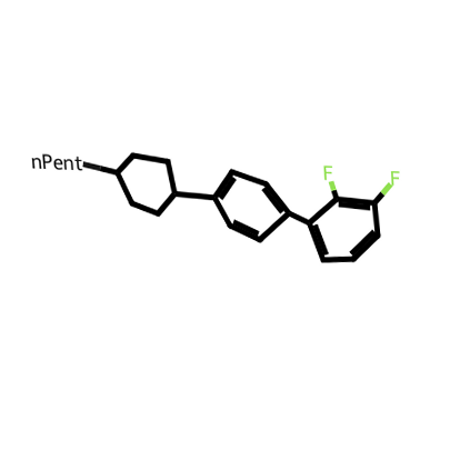 CCCCCC1CCC(c2ccc(-c3cccc(F)c3F)cc2)CC1